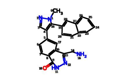 Cn1ncc(-c2ccc3c(=O)[nH]nc(CN)c3c2)c1-c1ccc2ccccc2c1